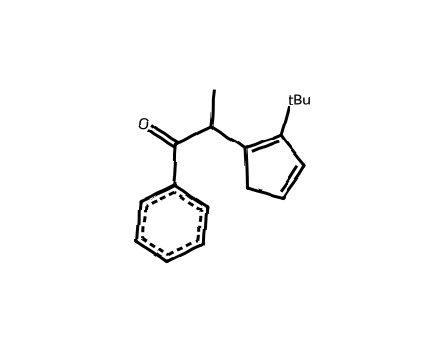 CC(C(=O)c1ccccc1)C1=C(C(C)(C)C)C=CC1